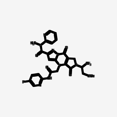 COCC(C)N1Cc2c(n(CC(=O)Nc3ccc(F)cn3)c3cc(C(=O)N(C)c4ccccn4)nn3c2=O)C1=O